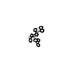 c1ccc2c(c1)-c1cccc3c(-n4c5ccc6c(c7ccccc7n6-c6cccc7ccccc67)c5c5ccc6oc7ccccc7c6c54)ccc-2c13